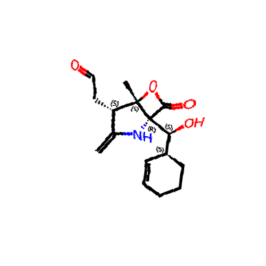 C=C1N[C@@]2([C@@H](O)[C@@H]3C=CCCC3)C(=O)O[C@@]2(C)[C@H]1CC=O